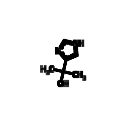 CC(C)(O)c1c[nH]cn1